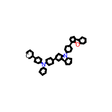 c1ccc(-c2ccc(N(c3ccccc3)c3ccc(-c4ccc5c(c4)c4ccccc4n5-c4ccc(-c5cccc6c5oc5ccccc56)cc4)cc3)cc2)cc1